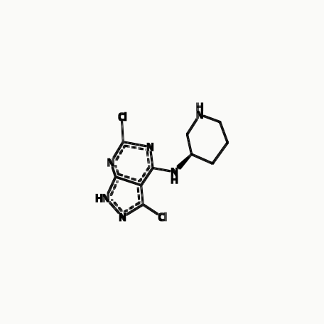 Clc1nc(N[C@@H]2CCCNC2)c2c(Cl)n[nH]c2n1